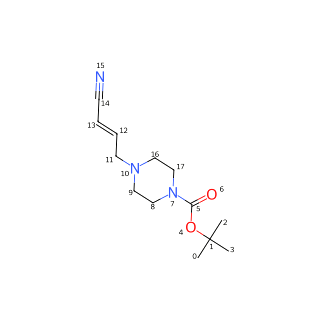 CC(C)(C)OC(=O)N1CCN(CC=CC#N)CC1